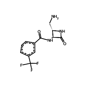 NC[C@@H]1NC(=O)[C@@H]1NC(=O)c1cccc(C(F)(F)F)c1